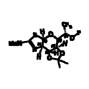 CNC1=N[C@@H]2[C@H]3OC(C)(C)O[C@@H]3[C@@H]([C@@H](OF)C(F)(F)F)O[C@@H]2S1